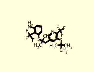 CC(C)(C)Sc1cc(CC(C)(C)Sc2cccc(N)c2C(F)(F)F)cnc1C(F)(F)F